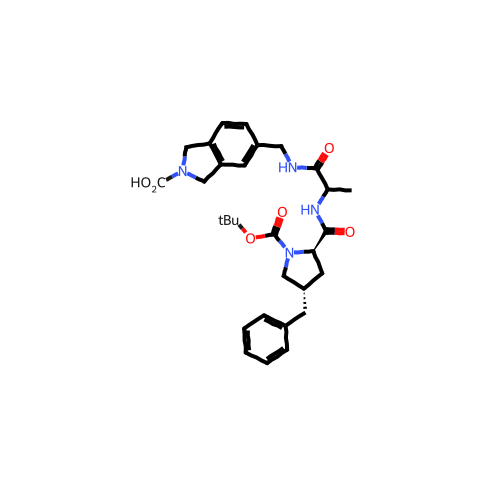 CC(NC(=O)[C@H]1C[C@H](Cc2ccccc2)CN1C(=O)OC(C)(C)C)C(=O)NCc1ccc2c(c1)CN(C(=O)O)C2